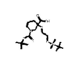 CC(C)(C)OC(=O)N1CCCC(SCCO[Si](C)(C)C(C)(C)C)(C(=O)O)C1